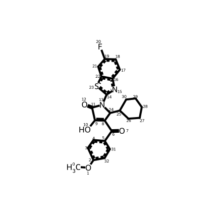 COc1ccc(C(=O)C2=C(O)C(=O)N(c3nc4ccc(F)cc4s3)C2C2CCCCC2)cc1